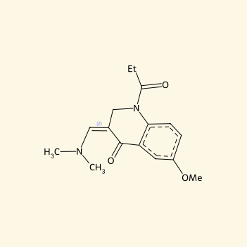 CCC(=O)N1C/C(=C/N(C)C)C(=O)c2cc(OC)ccc21